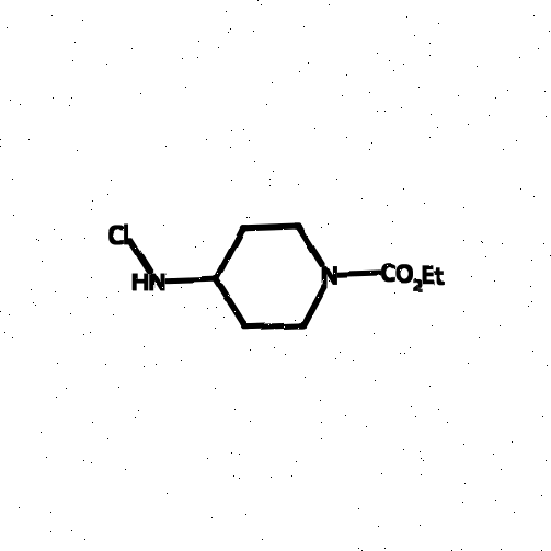 CCOC(=O)N1CCC(NCl)CC1